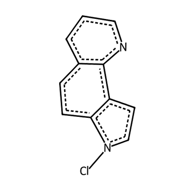 Cln1ccc2c3ncccc3ccc21